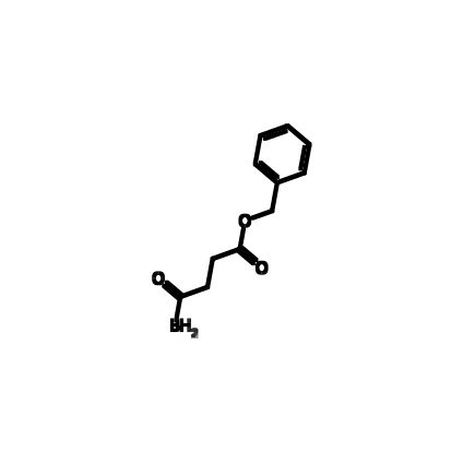 BC(=O)CCC(=O)OCc1ccccc1